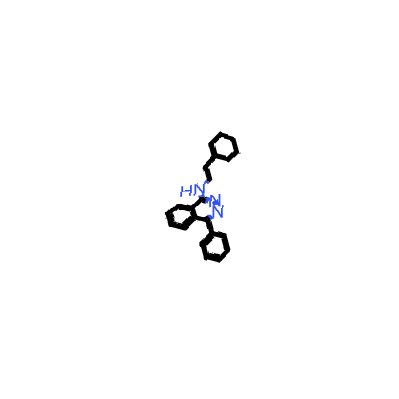 c1ccc(-c2nnc(NCCC3CCCCC3)c3ccccc23)cc1